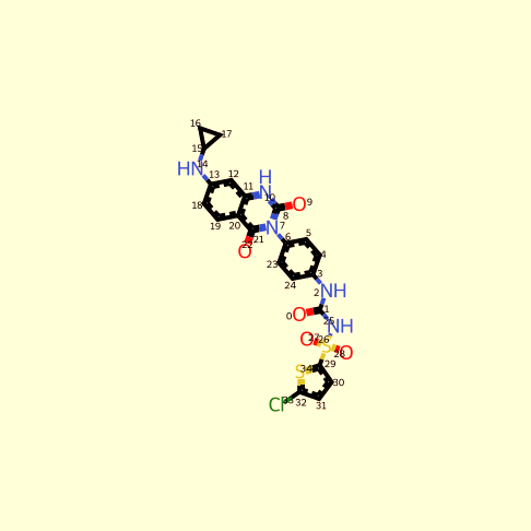 O=C(Nc1ccc(-n2c(=O)[nH]c3cc(NC4CC4)ccc3c2=O)cc1)NS(=O)(=O)c1ccc(Cl)s1